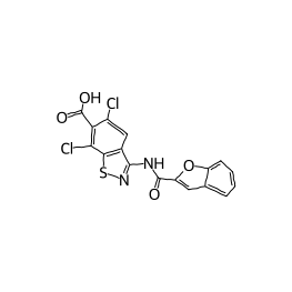 O=C(Nc1nsc2c(Cl)c(C(=O)O)c(Cl)cc12)c1cc2ccccc2o1